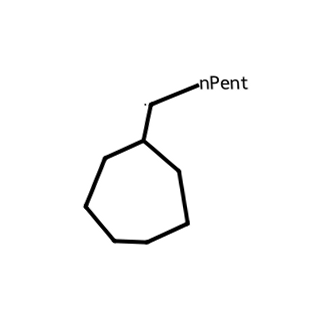 CCCCC[CH]C1CCCCCC1